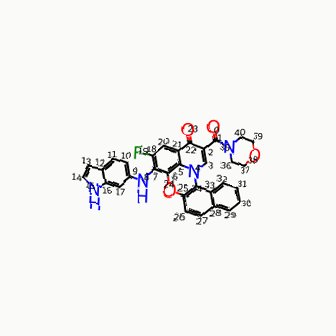 O=C(c1cn2c3c(c(Nc4ccc5cc[nH]c5c4)c(F)cc3c1=O)Oc1ccc3ccccc3c1-2)N1CCOCC1